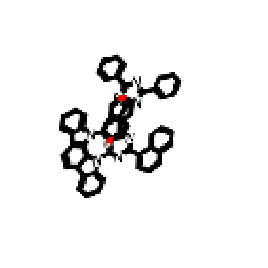 C1=CC2c3ccccc3N(c3nc(-c4ccccc4)nc(-c4cccc5ccccc45)n3)C2c2c1c1ccccc1n2-c1cccc(-c2nc(-c3ccccc3)nc(-c3ccccc3)n2)c1